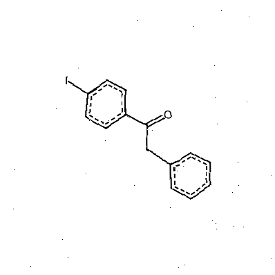 O=C(Cc1ccccc1)c1ccc(I)cc1